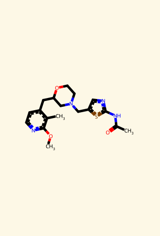 COc1nccc(CC2CN(Cc3cnc(NC(C)=O)s3)CCO2)c1C